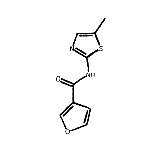 Cc1cnc(NC(=O)c2ccoc2)s1